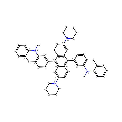 CN1c2ccccc2Cc2ccc(-c3c4c(c(-c5ccc6c(c5)N(C)c5ccccc5C6)c5cc(N6CCCCC6)ccc35)CCC(N3CCCCC3)=C4)cc21